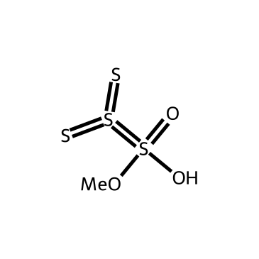 COS(=O)(O)=S(=S)=S